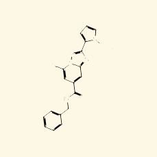 Cn1cccc1-c1nc2cc(C(=O)NCc3ccccc3)cc(N)n2n1